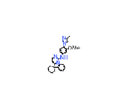 COc1cc(Nc2nccc(C3(c4ccccc4)CCCCC3)n2)ccc1-n1cnc(C)c1